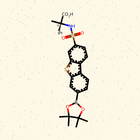 CC(C)[C@](C)(NS(=O)(=O)c1ccc2c(c1)sc1cc(B3OC(C)(C)C(C)(C)O3)ccc12)C(=O)O